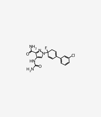 NC(=O)Nc1cn(C2(F)C=CC(c3cccc(Cl)c3)=CC2)nc1C(N)=O